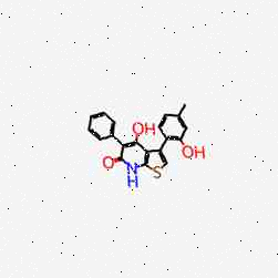 Cc1ccc(-c2csc3[nH]c(=O)c(-c4ccccc4)c(O)c23)c(O)c1